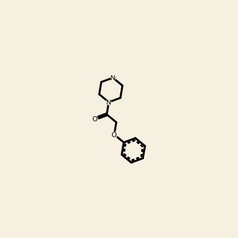 O=C(COc1ccccc1)N1CC[N]CC1